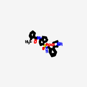 Cc1ccccc1C(=O)Nc1ccc(S(=O)(=O)NC(=O)c2ccccc2C2CNCCO2)c2ccccc12